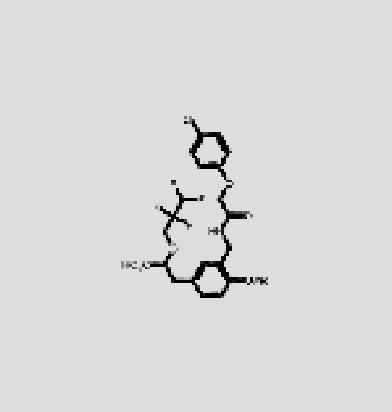 COc1ccc(CC(OCC(F)(F)C(F)F)C(=O)O)cc1CNC(=O)COc1ccc(Cl)cc1